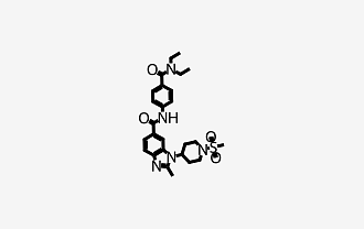 CCN(CC)C(=O)c1ccc(NC(=O)c2ccc3nc(C)n(C4CCN(S(C)(=O)=O)CC4)c3c2)cc1